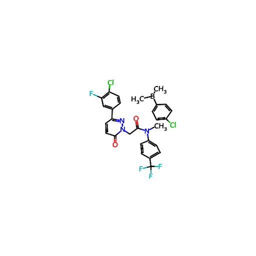 CB(C)c1ccc(Cl)cc1.CN(C(=O)Cn1nc(-c2ccc(Cl)c(F)c2)ccc1=O)c1ccc(C(F)(F)F)cc1